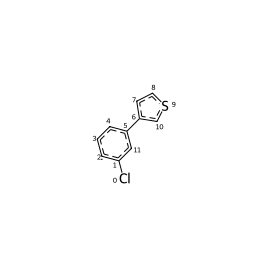 Clc1[c]ccc(-c2ccsc2)c1